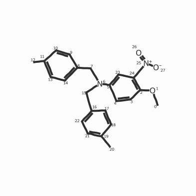 COc1ccc(N(Cc2ccc(C)cc2)Cc2ccc(C)cc2)cc1[N+](=O)[O-]